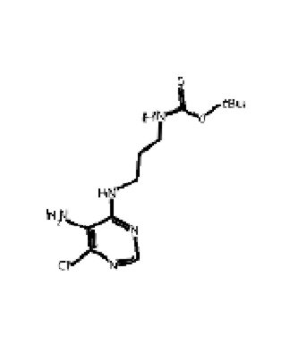 CC(C)(C)OC(=O)NCCCNc1ncnc(Cl)c1N